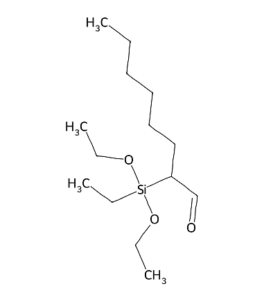 CCCCCCC(C=O)[Si](CC)(OCC)OCC